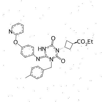 CCOC(=O)[C@H]1C[C@H](n2c(=O)[nH]/c(=N\c3ccc(Oc4ccccn4)cc3)n(Cc3ccc(C)cc3)c2=O)C1